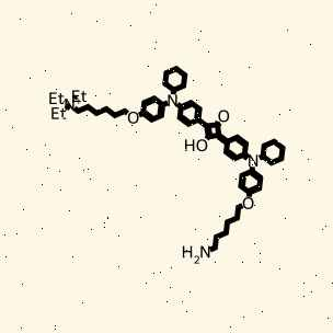 CC[N+](CC)(CC)CCCCCCOc1ccc(N(c2ccc(C3=C(O)C(=C4C=CC(=[N+](c5ccc(OCCCCCCN)cc5)C5CCCCC5)C=C4)C3=O)cc2)C2CCCCC2)cc1